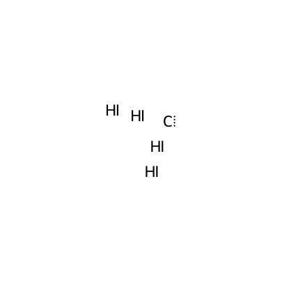 I.I.I.I.[C]